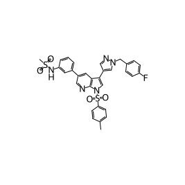 Cc1ccc(S(=O)(=O)n2cc(-c3cnn(Cc4ccc(F)cc4)c3)c3cc(-c4cccc(NS(C)(=O)=O)c4)cnc32)cc1